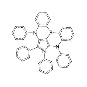 c1ccc(-c2c3c4c(n2-c2ccccc2)N(c2ccccc2)c2ccccc2B4c2ccccc2N3c2ccccc2)cc1